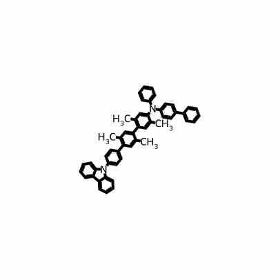 Cc1cc(-c2cc(C)c(N(c3ccccc3)c3ccc(-c4ccccc4)cc3)cc2C)c(C)cc1-c1ccc(-n2c3ccccc3c3ccccc32)cc1